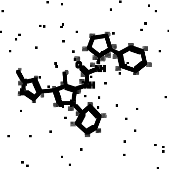 Cc1c(-c2cnn(C)c2)nn(-c2ccccc2)c1NC(=O)N[C@@H]1CCC[C@H]1c1ccccc1